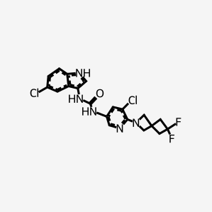 O=C(Nc1cnc(N2CC3(C2)CC(F)(F)C3)c(Cl)c1)Nc1c[nH]c2ccc(Cl)cc12